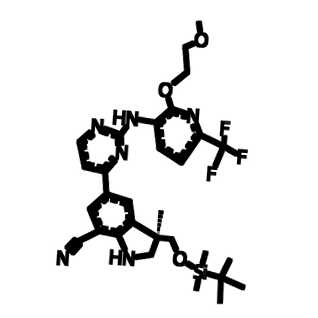 COCCOc1nc(C(F)(F)F)ccc1Nc1nccc(-c2cc(C#N)c3c(c2)[C@@](C)(CO[Si](C)(C)C(C)(C)C)CN3)n1